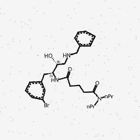 CCCN(CCC)C(=O)CCCC(=O)N[C@@H](Cc1cccc(Br)c1)[C@H](O)CNCc1ccccc1